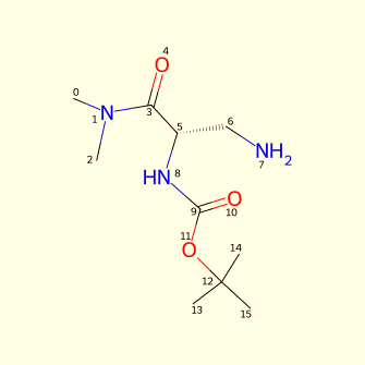 CN(C)C(=O)[C@H](CN)NC(=O)OC(C)(C)C